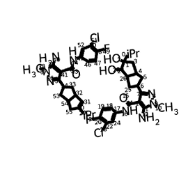 CC(C)C1(O)CC2CC(c3nn(C)c(N)c3C(=O)Nc3ccc(F)c(Cl)c3)CC2C1O.CC(C)C1=CC2CC(c3nn(C)c(N)c3C(=O)Nc3ccc(F)c(Cl)c3)CC2C1